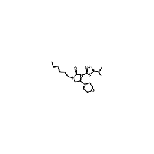 CCCCCCN1CC(N2CCOCC2)N(c2nnc(C(C)C)s2)C1=O